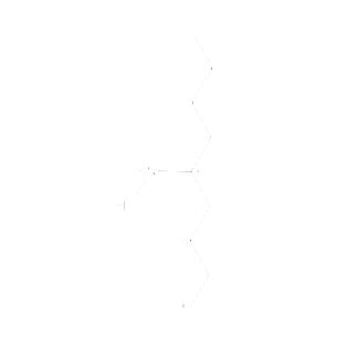 CCCCC(CCCC)NS